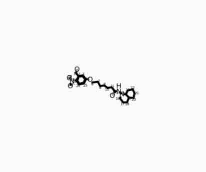 O=Cc1cc(OCCCCCCC(=O)NN2CCCC3CCCCC32)ccc1[N+](=O)[O-]